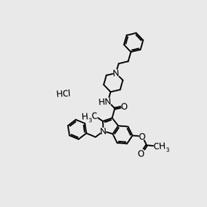 CC(=O)Oc1ccc2c(c1)c(C(=O)NC1CCN(CCc3ccccc3)CC1)c(C)n2Cc1ccccc1.Cl